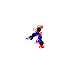 COC(=O)c1ccc2c(c1)NC(=O)N(C1CCN(C(=O)N[C@H](Cc3cc(Br)c(O)c(Br)c3)C(=O)N3CCC(C4CCNCC4)CC3)CC1)C2